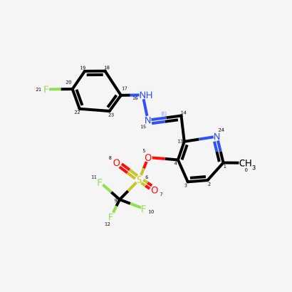 Cc1ccc(OS(=O)(=O)C(F)(F)F)c(/C=N/Nc2ccc(F)cc2)n1